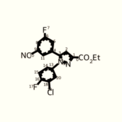 CCOC(=O)c1cc(-c2cc(F)cc(C#N)c2)n(-c2ccc(F)c(Cl)c2)n1